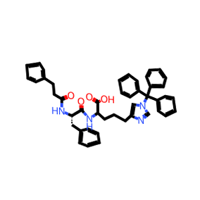 O=C(CCc1ccccc1)N[C@@H](Cc1ccccc1)C(=O)NC(CCCc1cn(C(c2ccccc2)(c2ccccc2)c2ccccc2)cn1)C(=O)O